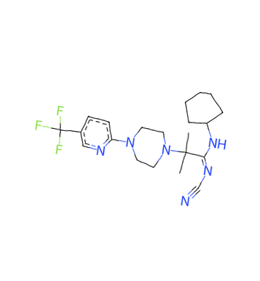 CC(C)(/C(=N\C#N)NC1CCCCC1)N1CCN(c2ccc(C(F)(F)F)cn2)CC1